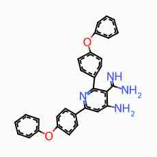 N=C(N)c1c(N)cc(-c2ccc(Oc3ccccc3)cc2)nc1-c1ccc(Oc2ccccc2)cc1